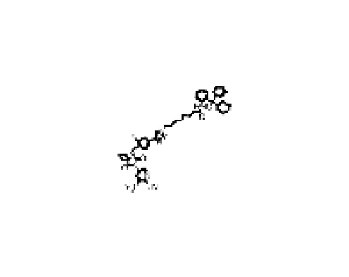 N#Cc1ncc(N2C(=O)N(Cc3ccc(-c4cn(CCCCCCCC(=O)NOC(c5ccccc5)(c5ccccc5)c5ccccc5)nn4)cc3F)C3(CCC3)C2=O)cc1C(F)(F)F